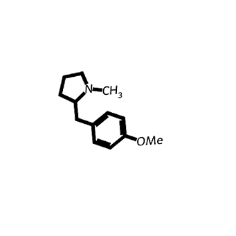 COc1ccc(CC2CCCN2C)cc1